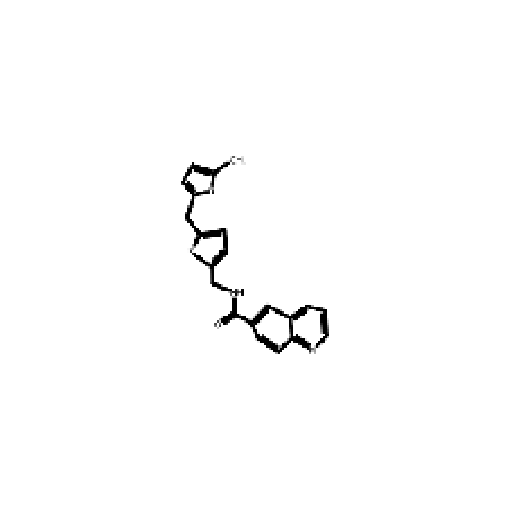 Cc1ccc(Cc2ccc(CNC(=O)c3ccc4ncccc4c3)s2)o1